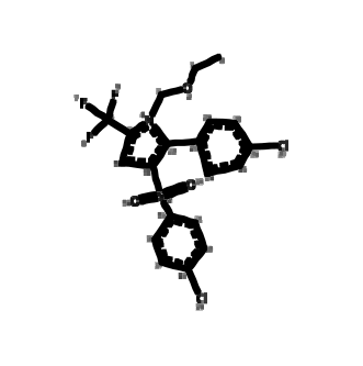 CCOCn1c(C(F)(F)F)cc(S(=O)(=O)c2ccc(Cl)cc2)c1-c1ccc(Cl)cc1